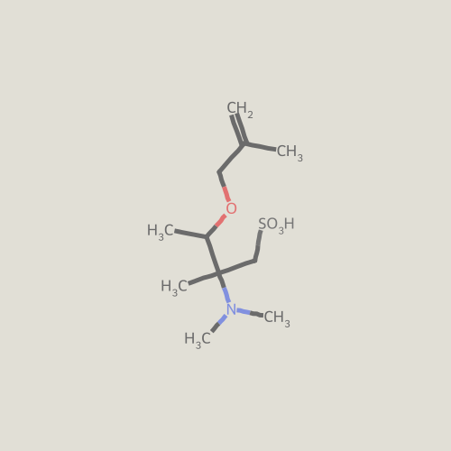 C=C(C)COC(C)C(C)(CS(=O)(=O)O)N(C)C